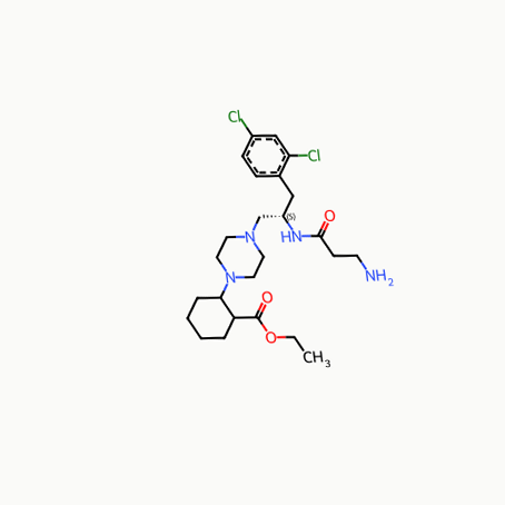 CCOC(=O)C1CCCCC1N1CCN(C[C@H](Cc2ccc(Cl)cc2Cl)NC(=O)CCN)CC1